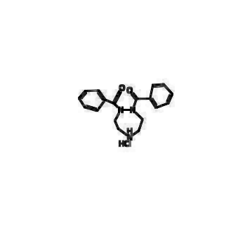 Cl.O=C(c1ccccc1)N1CCNCCN1C(=O)c1ccccc1